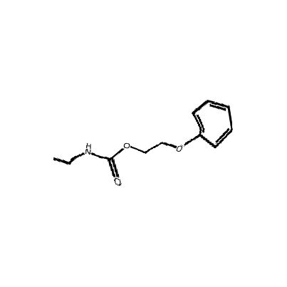 CCNC(=O)OCCOc1ccccc1